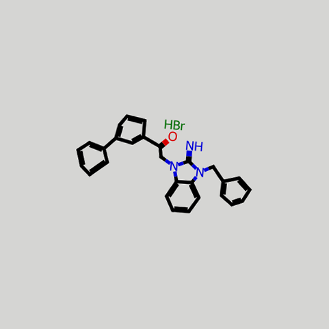 Br.N=c1n(CC(=O)c2cccc(-c3ccccc3)c2)c2ccccc2n1Cc1ccccc1